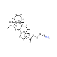 CC[C@H]1CC2C3CC[C@H]([C@H](C)CCCC#N)[C@@]3(C)CCC2[C@@]2(C)CCCC[C@@H]12